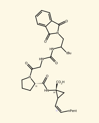 CCCCC/C=C\C1C[C@]1(NC(=O)[C@@H]1CCCN1C(=O)CNC(=O)NC(CN1C(=O)c2ccccc2C1=O)C(C)(C)C)C(=O)O